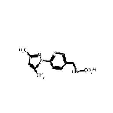 Cc1cc(C)n(-c2ccc(CNC(=O)O)cn2)n1